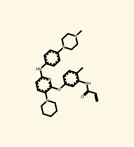 C=CC(=O)Nc1cc(Oc2nc(Nc3ccc(N4CCN(C)CC4)cc3)ccc2N2CCCCC2)ccc1C